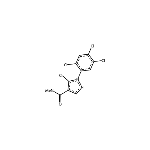 CNC(=O)c1cnn(-c2cc(Cl)c(Cl)cc2Cl)c1Cl